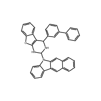 c1ccc(-c2cccc(C3NC(n4c5ccccc5c5cc6ccccc6cc54)Nc4oc5ccccc5c43)c2)cc1